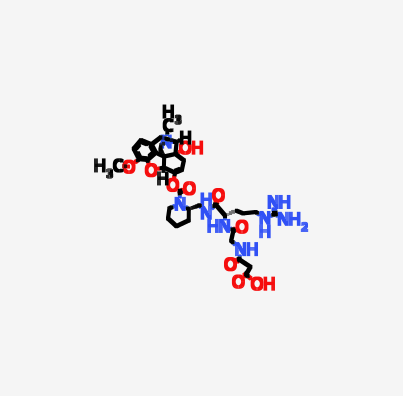 COc1ccc2c3c1O[C@H]1C(OC(=O)N4CCCC[C@@H]4CNC(=O)[C@H](CCCNC(=N)N)NC(=O)CNC(=O)CC(=O)O)=CC[C@@]4(O)[C@@H](C2)N(C)CC[C@]314